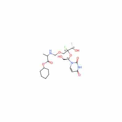 CC(NCOC[C@@](F)(O[C@H](CO)n1ccc(=O)[nH]c1=O)[C@H](C)O)C(=O)OC1CCCCC1